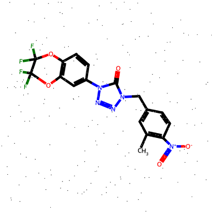 Cc1cc(Cn2nnn(-c3ccc4c(c3)OC(F)(F)C(F)(F)O4)c2=O)ccc1[N+](=O)[O-]